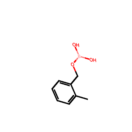 Cc1ccccc1COB(O)O